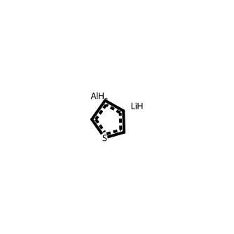 [AlH3].[LiH].c1ccsc1